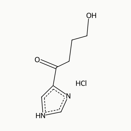 Cl.O=C(CCCO)c1c[nH]cn1